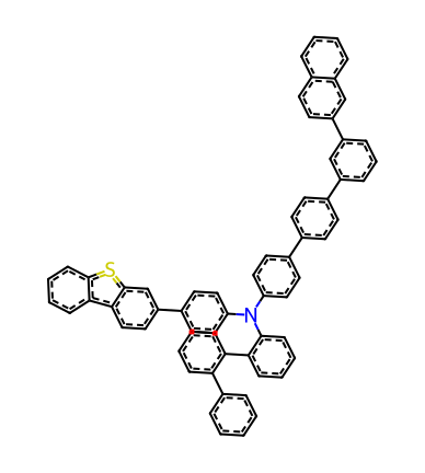 c1ccc(-c2ccccc2-c2ccccc2N(c2ccc(-c3ccc(-c4cccc(-c5ccc6ccccc6c5)c4)cc3)cc2)c2ccc(-c3ccc4c(c3)sc3ccccc34)cc2)cc1